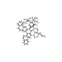 C=C/C=C(\C(=C/N(/C=C\C1=C(C=C)CCCC1)c1ccc2c(c1)C(C)(C)CCC2(C)C)c1ccc2c(ccc3ccccc32)c1)c1ccc2ccc3ccccc3c2c1